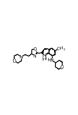 Cc1cc(NC2CCOCC2)c2[nH]c(C3=NC(CCN4CCOCC4)CO3)cc2c1